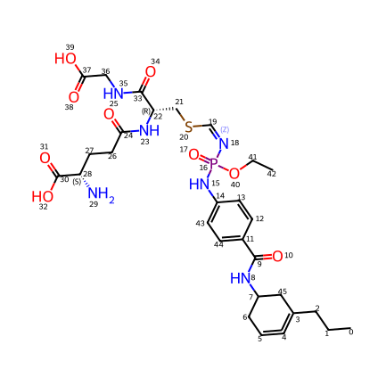 CCCC1=C=CCC(NC(=O)c2ccc(NP(=O)(/N=C\SC[C@H](NC(=O)CC[C@H](N)C(=O)O)C(=O)NCC(=O)O)OCC)cc2)C1